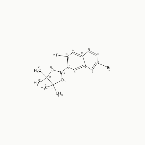 CC1(C)OB(c2cc3cc(Br)ccc3cc2F)OC1(C)C